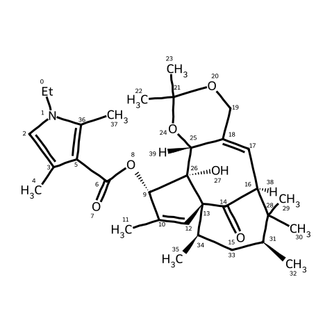 CCn1cc(C)c(C(=O)O[C@H]2C(C)=C[C@]34C(=O)[C@@H](C=C5COC(C)(C)O[C@H]5[C@]23O)C(C)(C)[C@@H](C)C[C@H]4C)c1C